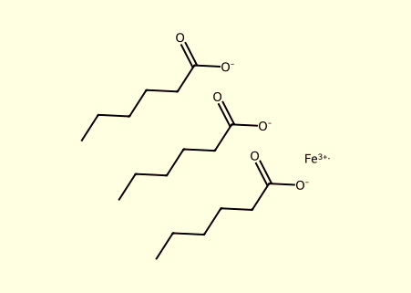 CCCCCC(=O)[O-].CCCCCC(=O)[O-].CCCCCC(=O)[O-].[Fe+3]